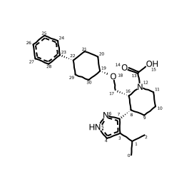 CC(C)c1c[nH]nc1[C@H]1CCCN(C(=O)O)[C@H]1CO[C@H]1CC[C@@H](c2ccccc2)CC1